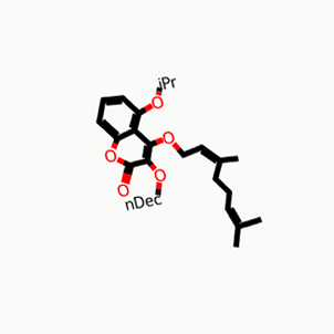 CCCCCCCCCCOc1c(OCC=C(C)CCC=C(C)C)c2c(OC(C)C)cccc2oc1=O